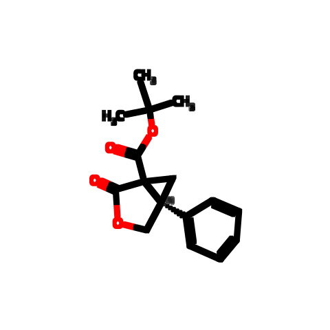 CC(C)(C)OC(=O)C12C[C@@]1(c1ccccc1)COC2=O